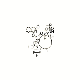 COc1cc2ccccc2c(O[C@@H]2C[C@H]3C(=O)N[C@]4(C(=O)NS(=O)(=O)C5(C)CC5)C[C@H]4C=CCC[C@@H](C)C[C@@H](C)[C@H](N(C(=O)O)C(C)(C)C(F)(F)F)C(=O)N3C2)n1